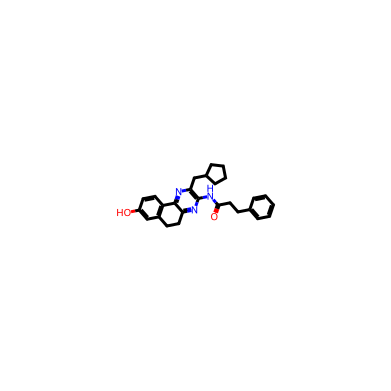 O=C(CCc1ccccc1)Nc1nc2c(nc1CC1CCCC1)-c1ccc(O)cc1CC2